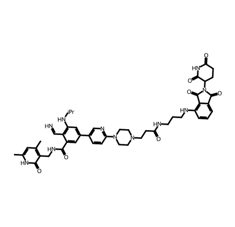 Cc1cc(C)c(CNC(=O)c2cc(-c3ccc(N4CCN(CCC(=O)NCCCNc5cccc6c5C(=O)N(C5CCC(=O)NC5=O)C6=O)CC4)nc3)cc(NC(C)C)c2C=N)c(=O)[nH]1